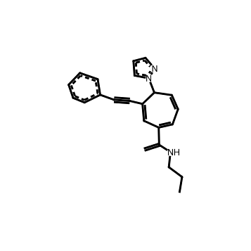 C=C(NCCC)C1=CC=CC(n2cccn2)C(C#Cc2ccccc2)=C1